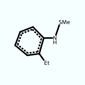 CCc1ccccc1NSC